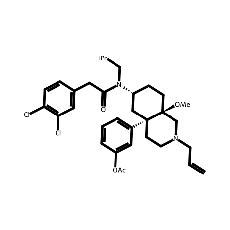 C=CCN1CC[C@@]2(c3cccc(OC(C)=O)c3)C[C@H](N(CC(C)C)C(=O)Cc3ccc(Cl)c(Cl)c3)CC[C@]2(OC)C1